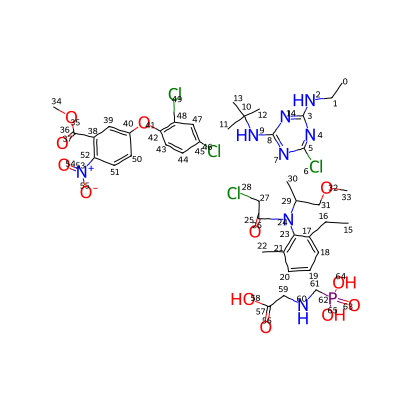 CCNc1nc(Cl)nc(NC(C)(C)C)n1.CCc1cccc(C)c1N(C(=O)CCl)C(C)COC.COC(=O)c1cc(Oc2ccc(Cl)cc2Cl)ccc1[N+](=O)[O-].O=C(O)CNCP(=O)(O)O